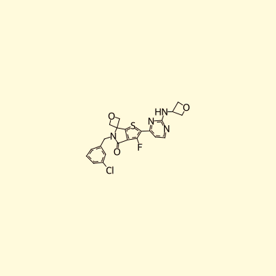 O=C1c2c(sc(-c3ccnc(NC4COC4)n3)c2F)C2(COC2)N1Cc1cccc(Cl)c1